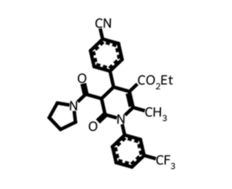 CCOC(=O)C1=C(C)N(c2cccc(C(F)(F)F)c2)C(=O)C(C(=O)N2CCCC2)C1c1ccc(C#N)cc1